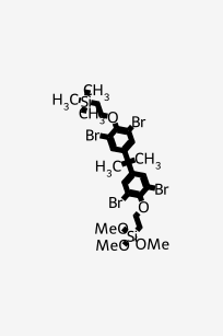 CO[Si](CCOc1c(Br)cc(C(C)(C)c2cc(Br)c(OCC[Si](C)(C)C)c(Br)c2)cc1Br)(OC)OC